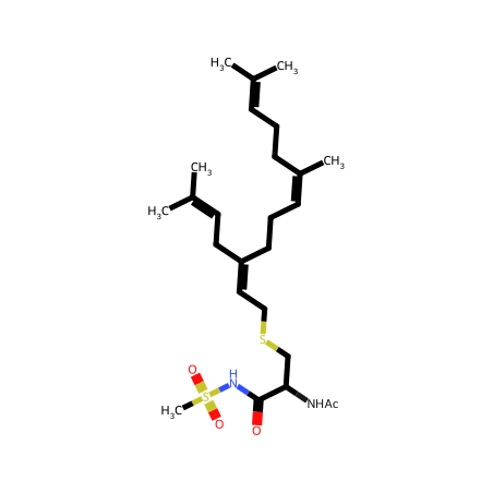 CC(=O)NC(CSCC=C(CC=C(C)C)CCC=C(C)CCC=C(C)C)C(=O)NS(C)(=O)=O